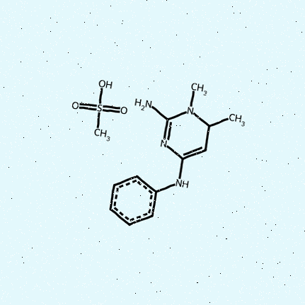 CC1C=C(Nc2ccccc2)N=C(N)N1C.CS(=O)(=O)O